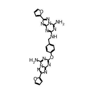 Nc1nc(NCc2ccc(Oc3nc(N)n4nc(-c5ccco5)nc4n3)cc2)nc2nc(-c3ccco3)nn12